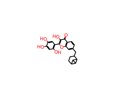 O=c1c(O)c(-c2cc(O)c(O)cc2O)oc2cc(CC3CCC4C5C3C45)ccc12